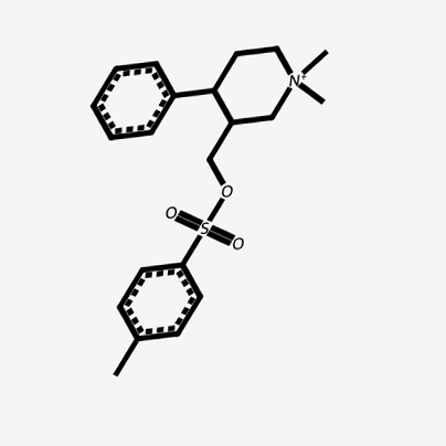 Cc1ccc(S(=O)(=O)OCC2C[N+](C)(C)CCC2c2ccccc2)cc1